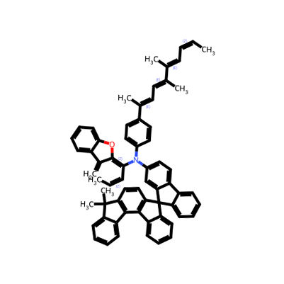 C=c1/c(=C(\C=C/C)N(c2ccc(/C(C)=C/C=C(C)/C(C)=C/C=C\C)cc2)c2ccc3c(c2)C2(c4ccccc4-3)c3ccccc3-c3c2ccc2c3-c3ccccc3C2(C)C)oc2ccccc12